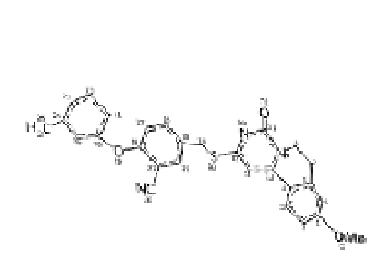 COc1ccc2c(c1)CCn1c-2cc(SCc2ccc(Oc3cccc(C)c3)c(C#N)c2)nc1=O